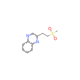 CS(=O)(=O)CCc1cnc2ccccc2n1